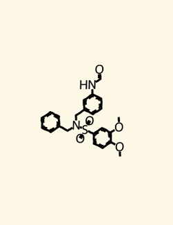 COc1ccc(S(=O)(=O)N(Cc2ccccc2)Cc2cccc(NC=O)c2)cc1OC